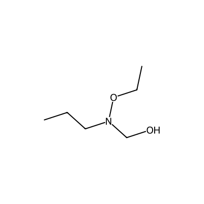 CCCN(CO)OCC